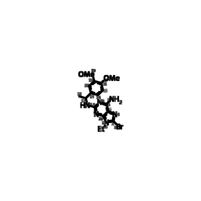 CCn1c(Br)nc2c(N)nc(NC(C)c3ccc(OC)c(OC)c3)nc21